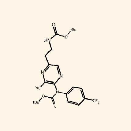 CC(C)(C)OC(=O)NCCc1cnc(N(C(=O)OC(C)(C)C)c2ccc(C(F)(F)F)cc2)c(C#N)n1